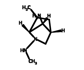 CNN1C[C@H]2CC(C)[C@@H]1[C@@H]2N